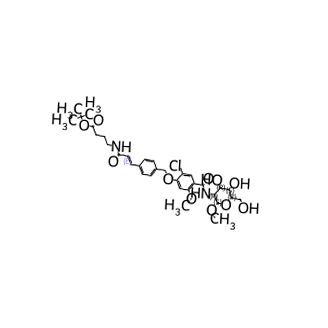 COc1cc(OCc2ccc(/C=C/C(=O)NCCCC(=O)OC(C)(C)C)cc2)c(Cl)cc1C(=O)N[C@H]1[C@@H](OC)O[C@H](CO)[C@@H](O)[C@@H]1O